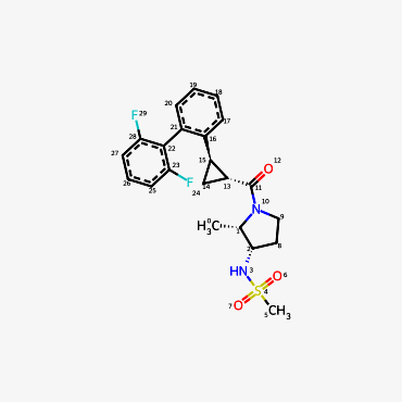 C[C@H]1[C@@H](NS(C)(=O)=O)CCN1C(=O)[C@@H]1C[C@H]1c1ccccc1-c1c(F)cccc1F